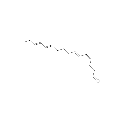 CCC=CC=CCCC/C=C/C=C\CCC=O